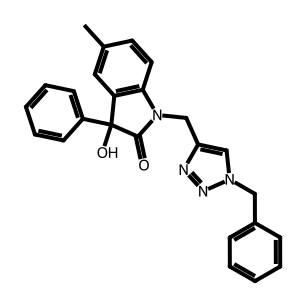 Cc1ccc2c(c1)C(O)(c1ccccc1)C(=O)N2Cc1cn(Cc2ccccc2)nn1